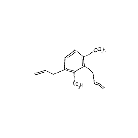 C=CCc1ccc(C(=O)O)c(CC=C)c1C(=O)O